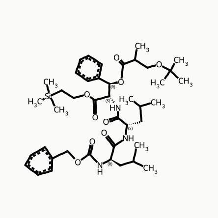 CC(C)C[C@H](NC(=O)[C@@H](CC(C)C)NC(=O)OCc1ccccc1)C(=O)N[C@H](C(=O)OCC[Si](C)(C)C)[C@H](OC(=O)C(C)COC(C)(C)C)c1ccccc1